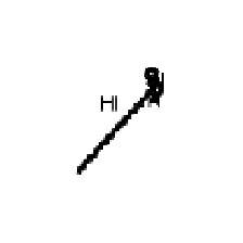 CCCCCCCCCCCCCCCCCCCCCCCCCCc1c(N(C)C)ccc2nc3ccccc3cc12.I